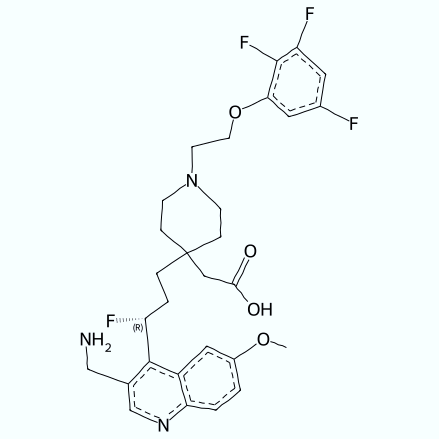 COc1ccc2ncc(CN)c([C@H](F)CCC3(CC(=O)O)CCN(CCOc4cc(F)cc(F)c4F)CC3)c2c1